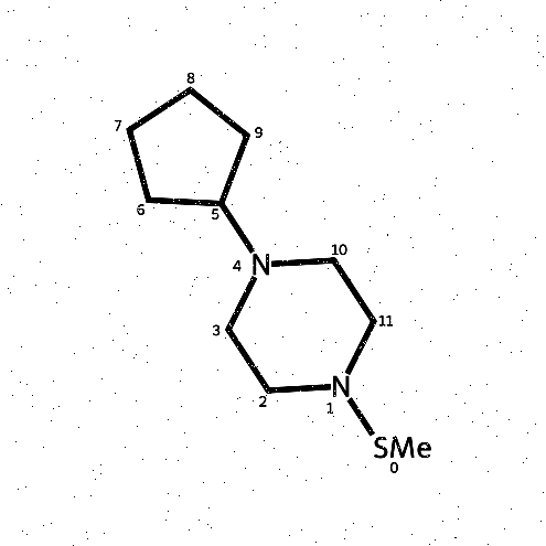 CSN1CCN(C2CCCC2)CC1